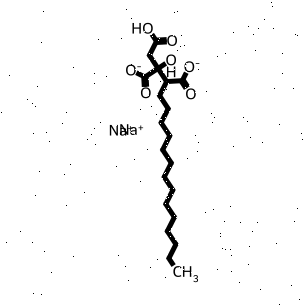 CCCCCCCCCCCCCCC(C(=O)[O-])C(O)(CC(=O)O)C(=O)[O-].[Na+].[Na+]